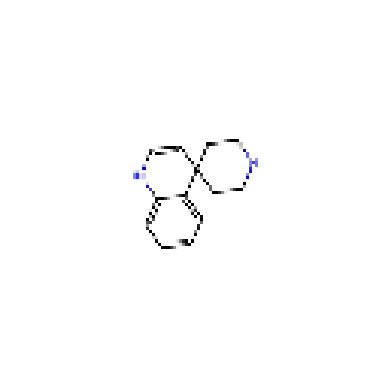 C1=CC2(CC[N]CC2)c2ccccc2N1